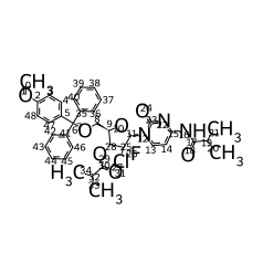 COc1ccc(C(OC[C@H]2O[C@@H](n3ccc(NC(=O)C(C)C)nc3=O)[C@@](F)(Cl)[C@@H]2OC(=O)C(C)C)(c2ccccc2)c2ccccc2)cc1